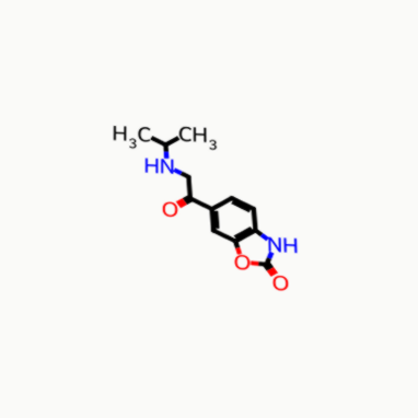 CC(C)NCC(=O)c1ccc2[nH]c(=O)oc2c1